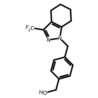 OCc1ccc(Cn2nc(C(F)(F)F)c3c2CCCC3)cc1